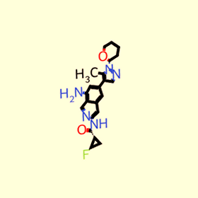 Cc1c(-c2cc(N)c3cnc(NC(=O)[C@@H]4C[C@@H]4F)cc3c2)cnn1[C@H]1CCCCO1